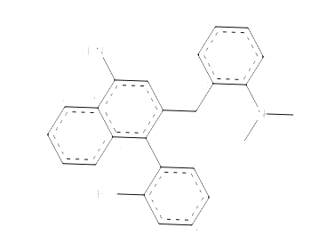 CN(C)c1ccccc1Cc1cc(N)c2ccccc2c1-c1ccccc1O